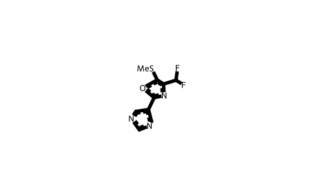 CSc1oc(-c2cncnc2)nc1C(F)F